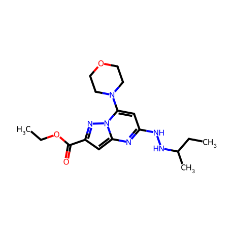 CCOC(=O)c1cc2nc(NNC(C)CC)cc(N3CCOCC3)n2n1